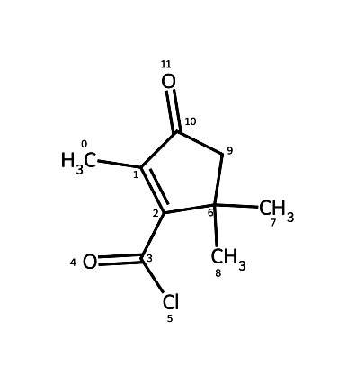 CC1=C(C(=O)Cl)C(C)(C)CC1=O